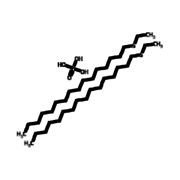 CCCCCCCCCCCCCCCCSCC.CCCCCCCCCCCCCCCCSCC.O=P(O)(O)O